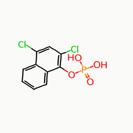 O=P(O)(O)Oc1c(Cl)cc(Cl)c2ccccc12